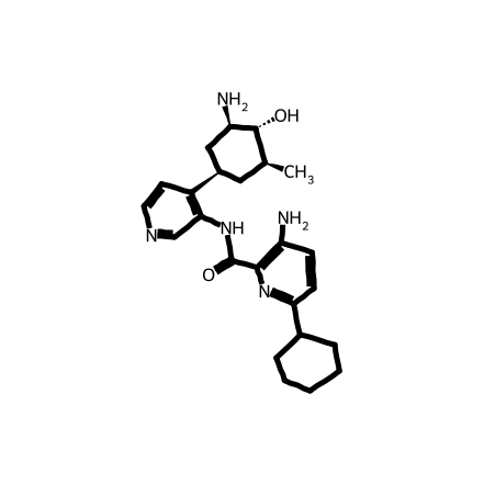 C[C@H]1C[C@@H](c2ccncc2NC(=O)c2nc(C3CCCCC3)ccc2N)C[C@@H](N)[C@@H]1O